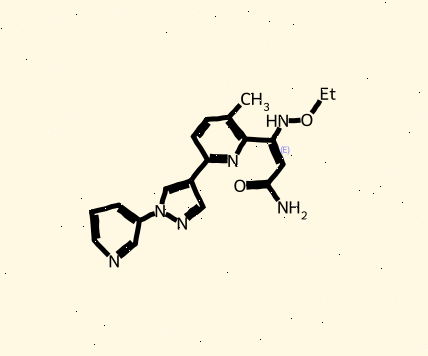 CCON/C(=C/C(N)=O)c1nc(-c2cnn(-c3cccnc3)c2)ccc1C